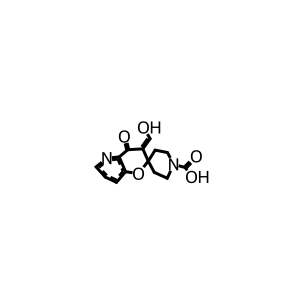 O=C1C(=CO)C2(CCN(C(=O)O)CC2)Oc2cccnc21